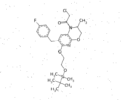 CC1COc2nc(OCCO[Si](C)(C)C(C)(C)C)c(Cc3ccc(F)cc3)cc2N1C(=O)CCl